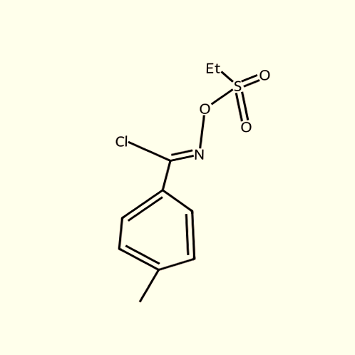 CCS(=O)(=O)ON=C(Cl)c1ccc(C)cc1